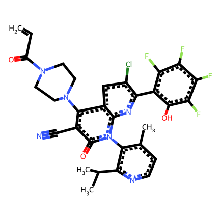 C=CC(=O)N1CCN(c2c(C#N)c(=O)n(-c3c(C)ccnc3C(C)C)c3nc(-c4c(O)c(F)c(F)c(F)c4F)c(Cl)cc23)CC1